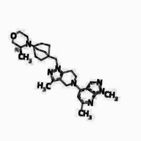 Cc1cc(N2CCc3c(c(C)nn3CC34CCC(N5CCOC[C@@H]5C)(CC3)CC4)C2)c2cnn(C)c2n1